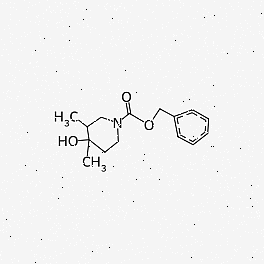 CC1CN(C(=O)OCc2ccccc2)CCC1(C)O